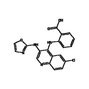 O=C(O)c1ccccc1Nc1c(Nc2ncco2)cnc2ccc(Cl)cc12